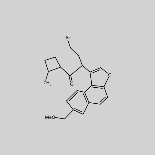 COCc1ccc2c(ccc3occ(C(CCC(C)=O)C(=O)C4CCC4C)c32)c1